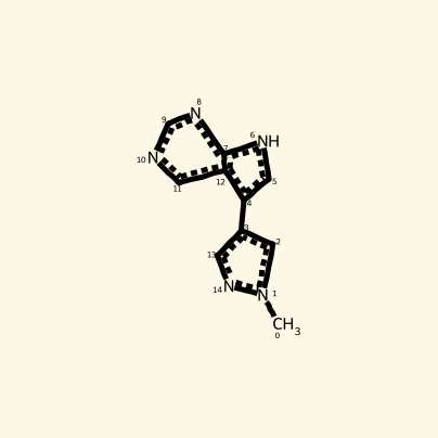 Cn1cc(-c2c[nH]c3ncncc23)cn1